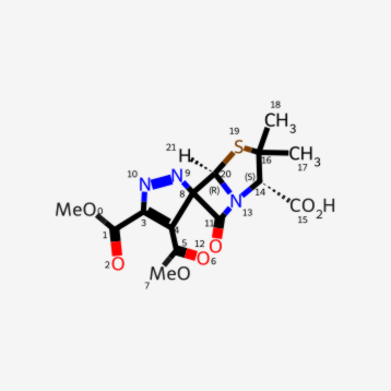 COC(=O)C1=C(C(=O)OC)C2(N=N1)C(=O)N1[C@@H](C(=O)O)C(C)(C)S[C@@H]12